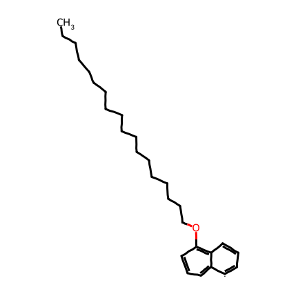 CCCCCCCCCCCCCCCCCCOc1cccc2[c]cccc12